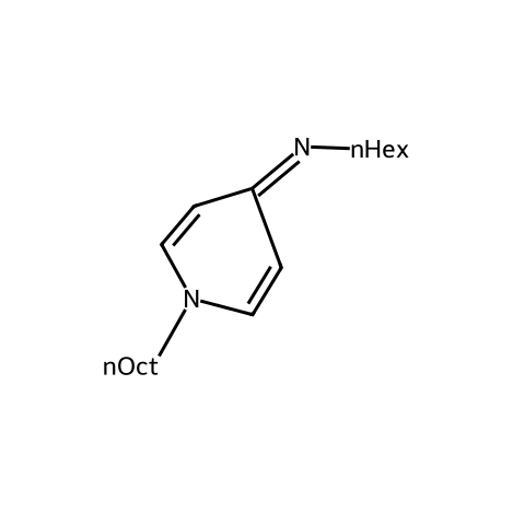 CCCCCCCCn1ccc(=NCCCCCC)cc1